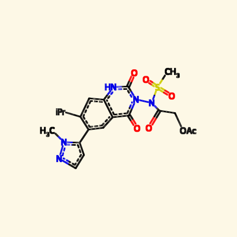 CC(=O)OCC(=O)N(n1c(=O)[nH]c2cc(C(C)C)c(-c3ccnn3C)cc2c1=O)S(C)(=O)=O